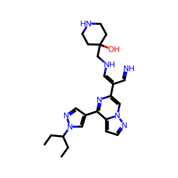 CCC(CC)n1cc(-c2nc(/C(C=N)=C/NCC3(O)CCNCC3)cn3nccc23)cn1